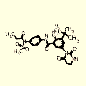 CCC(=O)N(c1ccc(NC(=O)c2cc(N3C(=O)CCNC3=O)cc(C(C)(C)C)c2OC)cc1)S(C)(=O)=O